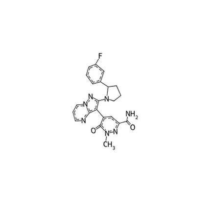 Cn1nc(C(N)=O)cc(-c2c(N3CCCC3c3cccc(F)c3)nn3cccnc23)c1=O